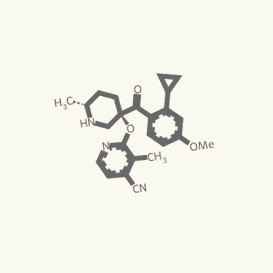 COc1ccc(C(=O)[C@@]2(Oc3nccc(C#N)c3C)CC[C@@H](C)NC2)c(C2CC2)c1